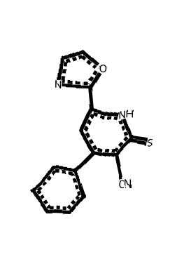 N#Cc1c(-c2ccccc2)cc(-c2ncco2)[nH]c1=S